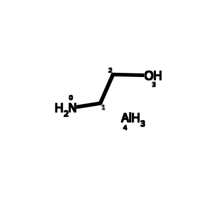 NCCO.[AlH3]